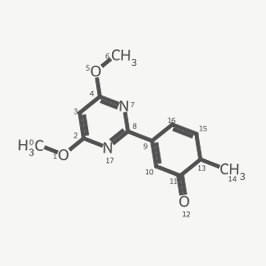 COc1cc(OC)nc(C2=CC(=O)C(C)C=C2)n1